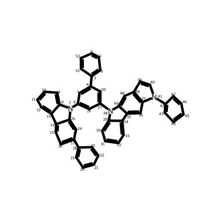 c1ccc(-c2cc(-n3c4ccccc4c4ccc(-c5ccccc5)cc43)cc(-n3c4ccccc4c4cc5c(ccn5-c5ccccc5)cc43)c2)cc1